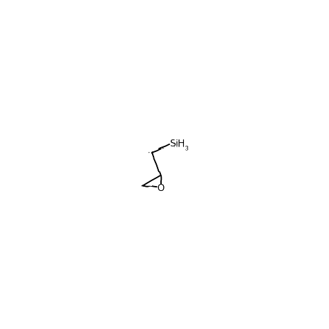 [SiH3][CH]C1CO1